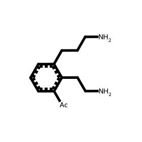 CC(=O)c1cccc(CCCN)c1CCN